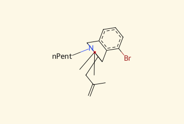 C=C(C)CC1C2c3c(Br)cccc3C(CC2(C)C)N1CCCCC